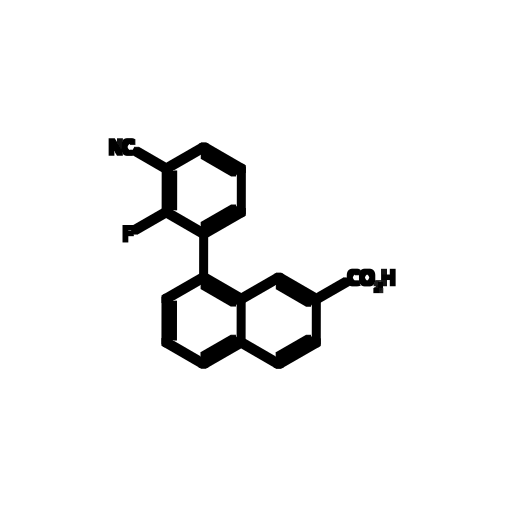 N#Cc1cccc(-c2cccc3ccc(C(=O)O)cc23)c1F